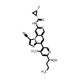 CCC[C@H](O)c1cc(C)c(-c2cc3cnc(NC(=O)[C@@H]4C[C@@H]4F)cc3n3c(C#N)cnc23)cn1